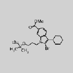 COC(=O)c1ccc2c(C3CCCCC3)c(Br)n(CCCO[Si](C)(C)C(C)(C)C)c2c1